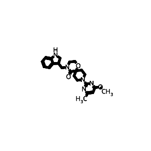 COc1cc(C)nc(N2CCC3(CC2)OCCN(CC2CNc4ccccc42)C3=O)n1